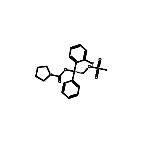 CS(=O)(=O)OC[C@@](OC(=O)N1CCCC1)(c1ccccc1)c1ccccc1F